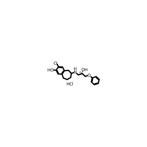 Cl.Oc1cc2c(cc1Cl)CC(NC[C@H](O)COc1ccccc1)CCC2